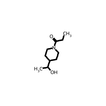 CCC(=O)N1CCC(C(C)O)CC1